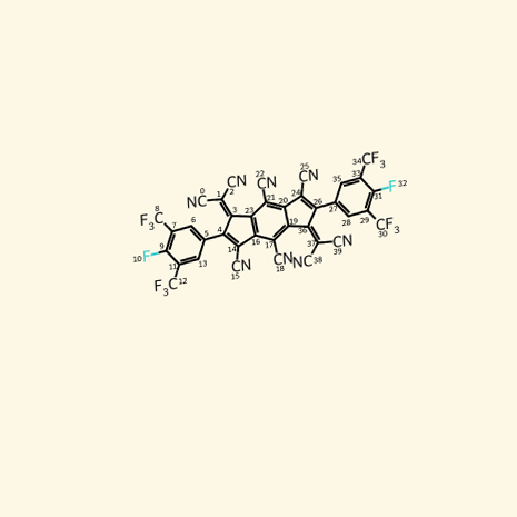 N#CC(C#N)=C1C(c2cc(C(F)(F)F)c(F)c(C(F)(F)F)c2)=C(C#N)c2c(C#N)c3c(c(C#N)c21)C(C#N)=C(c1cc(C(F)(F)F)c(F)c(C(F)(F)F)c1)C3=C(C#N)C#N